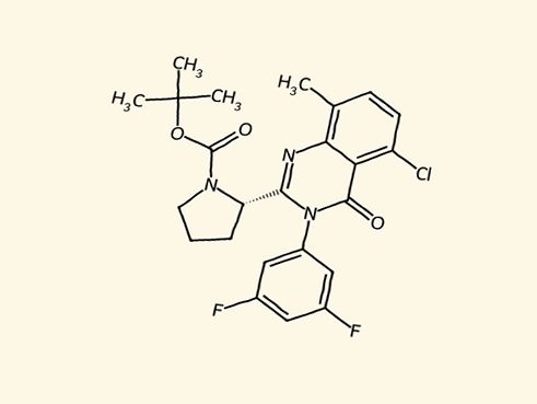 Cc1ccc(Cl)c2c(=O)n(-c3cc(F)cc(F)c3)c([C@@H]3CCCN3C(=O)OC(C)(C)C)nc12